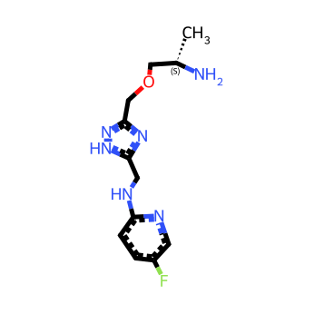 C[C@H](N)COCc1n[nH]c(CNc2ccc(F)cn2)n1